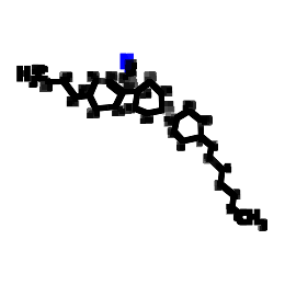 CCCCCCCC1CCC([C@H]2CC[C@](C#N)(C3=CC[C@H](CCCC)CC3)CC2)CC1